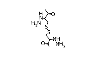 CC(=O)C(CSSCC(NN)C(C)=O)NN